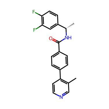 Cc1cnccc1-c1ccc(C(=O)N[C@@H](C)c2ccc(F)c(F)c2)cc1